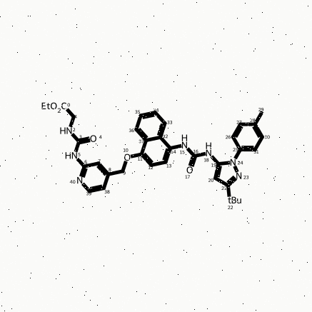 CCOC(=O)CNC(=O)Nc1cc(COc2ccc(NC(=O)Nc3cc(C(C)(C)C)nn3-c3ccc(C)cc3)c3ccccc23)ccn1